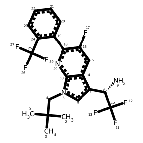 CC(C)(C)Cn1cc([C@H](N)C(F)(F)F)c2cc(F)c(-c3ccccc3C(F)(F)F)nc21